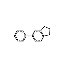 c1ccc(-c2ccc3c(c2)CCC3)cc1